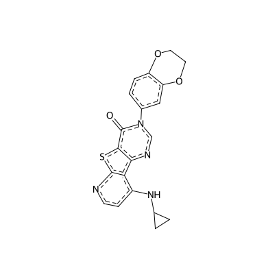 O=c1c2sc3nccc(NC4CC4)c3c2ncn1-c1ccc2c(c1)OCCO2